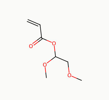 C=CC(=O)OC(COC)OC